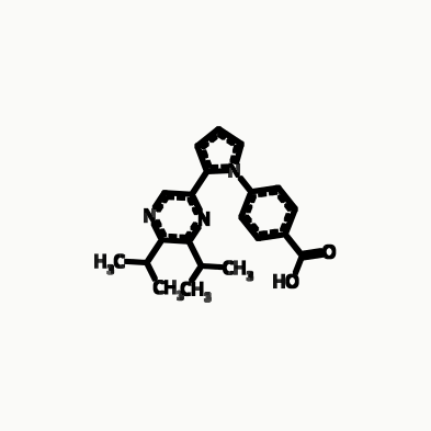 CC(C)c1ncc(-c2cccn2-c2ccc(C(=O)O)cc2)nc1C(C)C